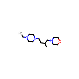 CC(C)CN1CCN(CCC(C)CN2CCOCC2)CC1